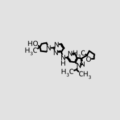 CC(C)n1nc(C2(C)CCCO2)c2cnc(Nc3ccnc(N4CCC(C)(O)CC4)n3)cc21